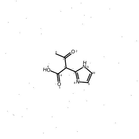 CC(=O)C(C(=O)O)c1ncc[nH]1